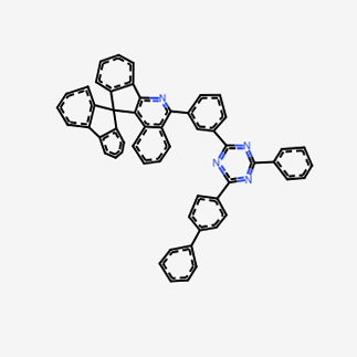 c1ccc(-c2ccc(-c3nc(-c4ccccc4)nc(-c4cccc(-c5nc6c(c7ccccc57)C5(c7ccccc7-c7ccccc75)c5ccccc5-6)c4)n3)cc2)cc1